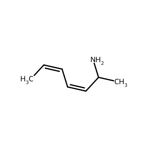 C/C=C\C=C/C(C)N